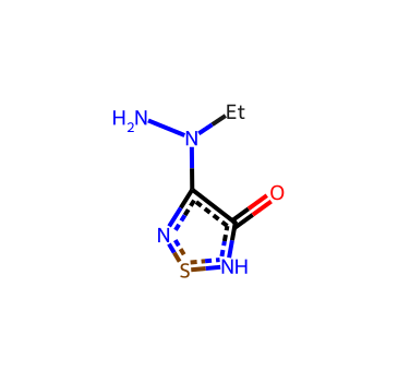 CCN(N)c1ns[nH]c1=O